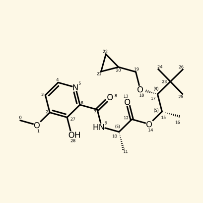 COc1ccnc(C(=O)N[C@@H](C)C(=O)O[C@@H](C)[C@H](OCC2CC2)C(C)(C)C)c1O